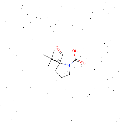 CC(C)(C)[C@]1(C=O)CCCN1C(=O)O